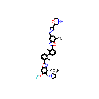 Cc1c(-c2nc3cc(CN4CCC[C@H]4C(=O)O)c(OC(F)F)cc3o2)cccc1-c1cccc(-c2nc3cc(CN4CC(C5CNCCO5)C4)cc(C#N)c3o2)c1C